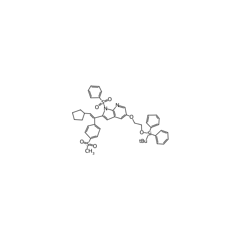 CC(C)(C)[Si](OCCOc1cnc2c(c1)cc(/C(=C/C1CCCC1)c1ccc(S(C)(=O)=O)cc1)n2S(=O)(=O)c1ccccc1)(c1ccccc1)c1ccccc1